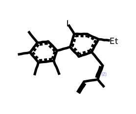 C=C/C(C)=C\c1cc(-c2cc(C)c(C)c(C)c2C)c(I)cc1CC